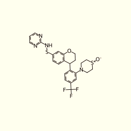 [O-][S+]1CCN(c2cc(C(F)(F)F)ccc2C2CCOc3cc(SNc4ncccn4)ccc32)CC1